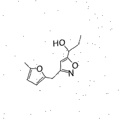 CCC(O)c1cc(Cc2ccc(C)o2)no1